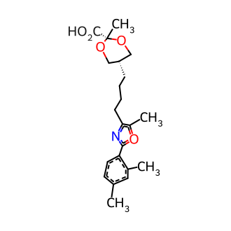 Cc1ccc(-c2nc(CCCC[C@H]3CO[C@@](C)(C(=O)O)OC3)c(C)o2)c(C)c1